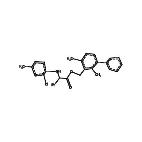 Cc1ccc(-c2ccccc2)c(C)c1COC(=O)C(Nc1ccc(C(F)(F)F)cc1Cl)C(C)C